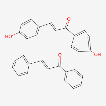 O=C(/C=C/c1ccc(O)cc1)c1ccc(O)cc1.O=C(/C=C/c1ccccc1)c1ccccc1